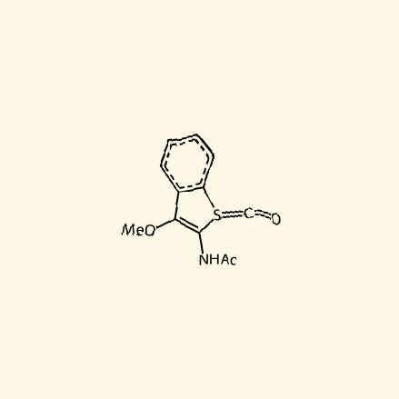 COC1=C(NC(C)=O)S(=C=O)c2ccccc21